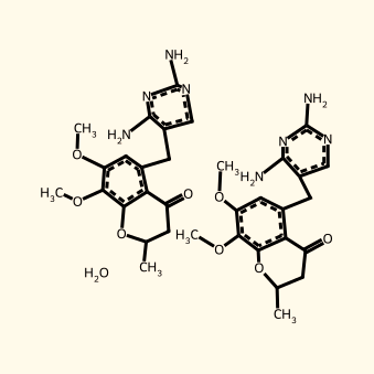 COc1cc(Cc2cnc(N)nc2N)c2c(c1OC)OC(C)CC2=O.COc1cc(Cc2cnc(N)nc2N)c2c(c1OC)OC(C)CC2=O.O